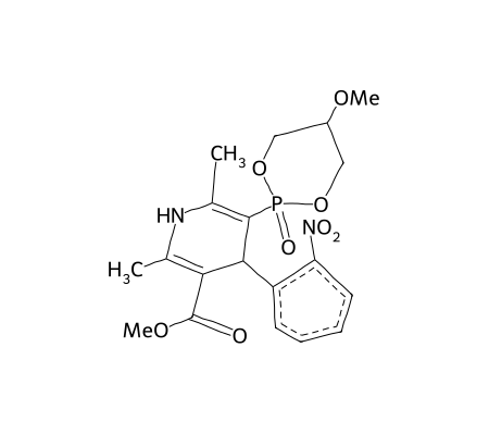 COC(=O)C1=C(C)NC(C)=C(P2(=O)OCC(OC)CO2)C1c1ccccc1[N+](=O)[O-]